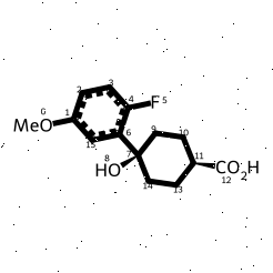 COc1ccc(F)c([C@]2(O)CC[C@@H](C(=O)O)CC2)c1